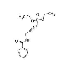 CCOP(=O)(C[N+]#CCNC(=O)c1ccccc1)OCC